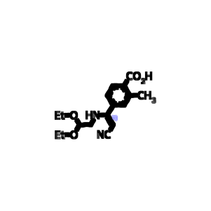 CCOC(CN/C(=C\C#N)c1ccc(C(=O)O)c(C)c1)OCC